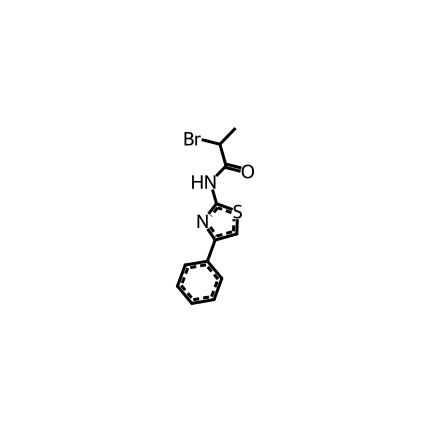 CC(Br)C(=O)Nc1nc(-c2ccccc2)cs1